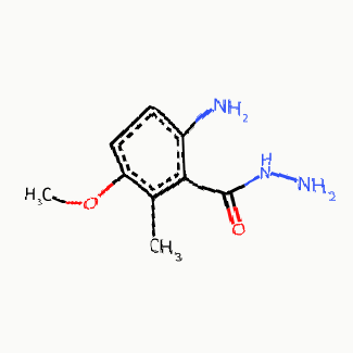 COc1ccc(N)c(C(=O)NN)c1C